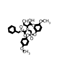 CCC(C(=O)O)N(CP(=O)(Oc1ccc(OC)cc1)Oc1ccc(OC)cc1)C(=O)[S+]([O-])Cc1ccccc1